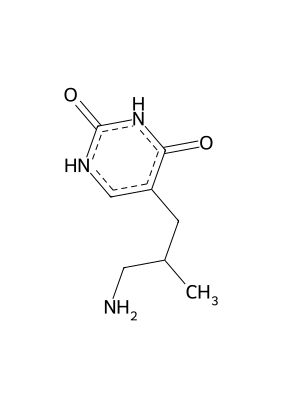 CC(CN)Cc1c[nH]c(=O)[nH]c1=O